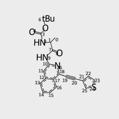 CC(NC(=O)OC(C)(C)C)C(=O)Nc1cc2ccccc2c(C#Cc2ccsc2)n1